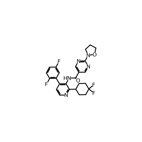 O=C(Nc1c(-c2cc(F)ccc2F)ccnc1C1CCC(F)(F)CC1)c1cnc(N2CCCO2)nc1